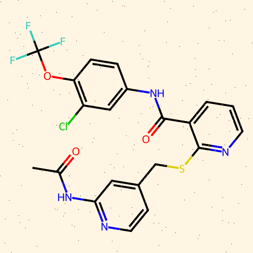 CC(=O)Nc1cc(CSc2ncccc2C(=O)Nc2ccc(OC(F)(F)F)c(Cl)c2)ccn1